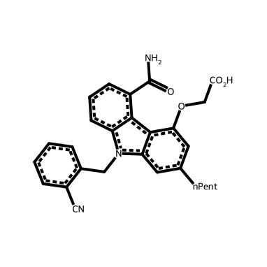 CCCCCc1cc(OCC(=O)O)c2c3c(C(N)=O)cccc3n(Cc3ccccc3C#N)c2c1